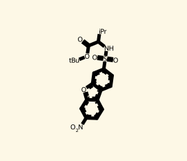 CC(C)C(NS(=O)(=O)c1ccc2c(c1)oc1cc([N+](=O)[O-])ccc12)C(=O)OC(C)(C)C